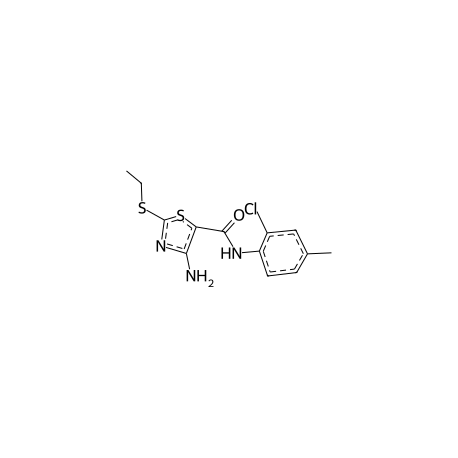 CCSc1nc(N)c(C(=O)Nc2ccc(C)cc2Cl)s1